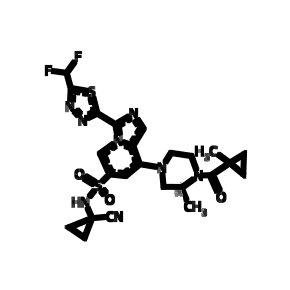 C[C@H]1CN(c2cc(S(=O)(=O)NC3(C#N)CC3)cn3c(-c4nnc(C(F)F)s4)ncc23)CCN1C(=O)C1(C)CC1